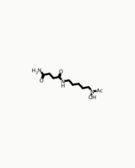 CC(=O)N(O)CCCCCNC(=O)CCC(N)=O